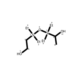 CC[Si](CC)(CCO)O[Si](CC)(CC)C(C)O